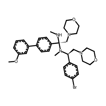 CN[C@](CN1CCOCC1)(c1ccc(-c2cccc(OC)c2)cc1)N(C)[C@@H](CN1CCOCC1)c1ccc(Br)cc1